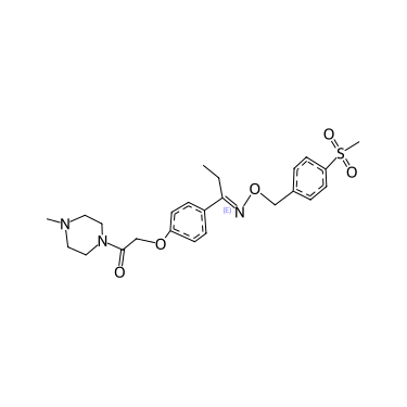 CC/C(=N\OCc1ccc(S(C)(=O)=O)cc1)c1ccc(OCC(=O)N2CCN(C)CC2)cc1